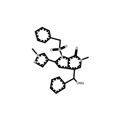 COC(c1ccccc1)c1cn(C)c(=O)c2c1cc(-c1cnn(C)c1)n2S(=O)(=O)Cc1ccccc1